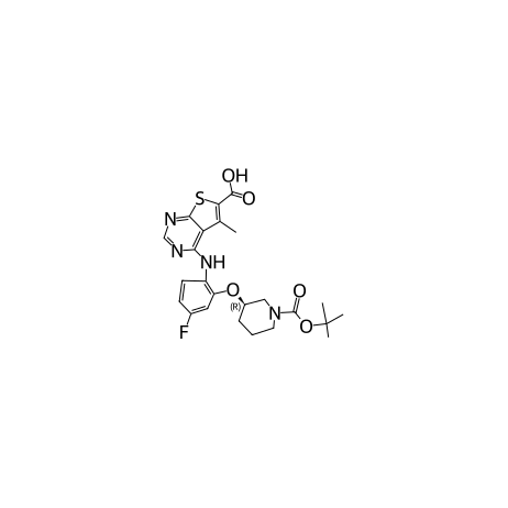 Cc1c(C(=O)O)sc2ncnc(Nc3ccc(F)cc3O[C@@H]3CCCN(C(=O)OC(C)(C)C)C3)c12